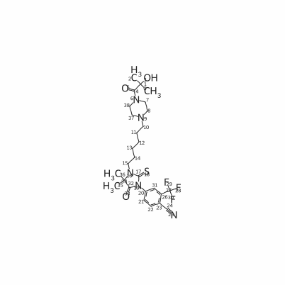 CC(C)(O)C(=O)N1CCN(CCCCCCN2C(=S)N(c3ccc(C#N)c(C(F)(F)F)c3)C(=O)C2(C)C)CC1